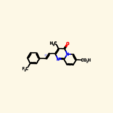 Cc1c(/C=C/c2cccc(C(F)(F)F)c2)nc2ccc(C(=O)O)cn2c1=O